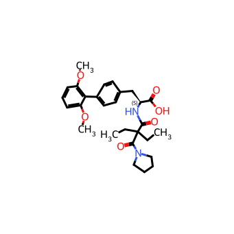 CCC(CC)(C(=O)N[C@@H](Cc1ccc(-c2c(OC)cccc2OC)cc1)C(=O)O)C(=O)N1CCCC1